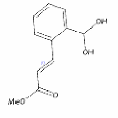 COC(=O)/C=C/c1ccccc1C(O)O